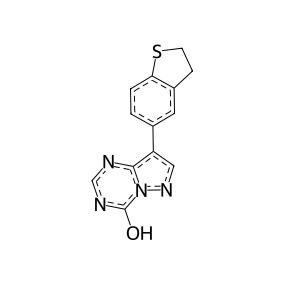 Oc1ncnc2c(-c3ccc4c(c3)CCS4)cnn12